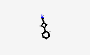 N#CC1CC(c2ccccc2)C1